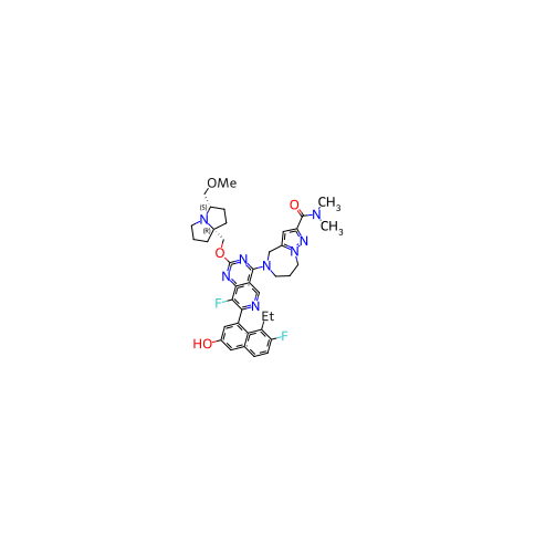 CCc1c(F)ccc2cc(O)cc(-c3ncc4c(N5CCCn6nc(C(=O)N(C)C)cc6C5)nc(OC[C@]56CCCN5[C@H](COC)CC6)nc4c3F)c12